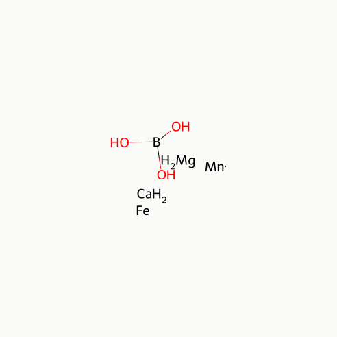 OB(O)O.[CaH2].[Fe].[MgH2].[Mn]